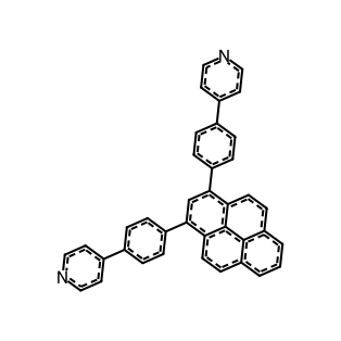 c1cc2ccc3c(-c4ccc(-c5ccncc5)cc4)cc(-c4ccc(-c5ccncc5)cc4)c4ccc(c1)c2c34